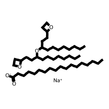 CCCCCCCCC(CCC1CCO1)OC(CCCCCCCC)CCC1CCO1.CCCCCCCCCCCCCCCCCC(=O)[O-].[Na+]